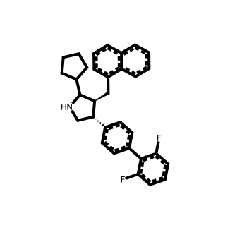 Fc1cccc(F)c1-c1ccc([C@@H]2CNC(C3CCCC3)[C@H]2Cc2cccc3ccccc23)cc1